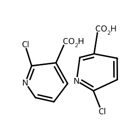 O=C(O)c1ccc(Cl)nc1.O=C(O)c1cccnc1Cl